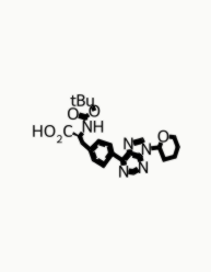 CC(C)(C)OC(=O)N[C@@H](Cc1ccc(-c2ncnc3c2ncn3C2CCCCO2)cc1)C(=O)O